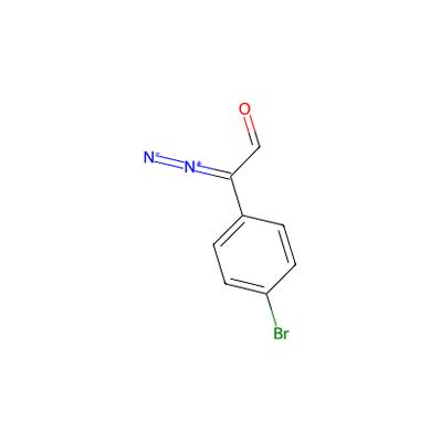 [N-]=[N+]=C(C=O)c1ccc(Br)cc1